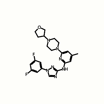 Cc1cc(Nc2ncn(-c3cc(F)cc(F)c3)n2)nc(N2CCN(C3CCOC3)CC2)c1